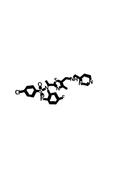 Cc1nc(C(C)N(c2cc(F)ccc2F)S(=O)(=O)c2ccc(Cl)cc2)sc1CNCc1ccncn1